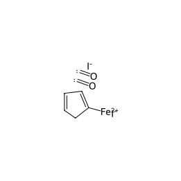 [C]=O.[C]=O.[Fe+2][C]1=CC=CC1.[I-].[I-]